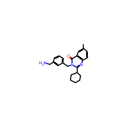 Cc1ccc2nc(C3CCCCC3)n(Cc3cccc(CN)c3)c(=O)c2c1